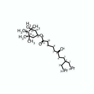 CC(C)CC(CCC(=O)CCCCC(=O)OC1CC(C)(C)N(C)C(C)(C)C1)CC(C)C